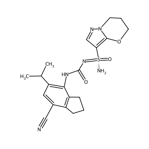 CC(C)c1cc(C#N)c2c(c1NC(=O)N=[S@](N)(=O)c1cnn3c1OCCC3)CCC2